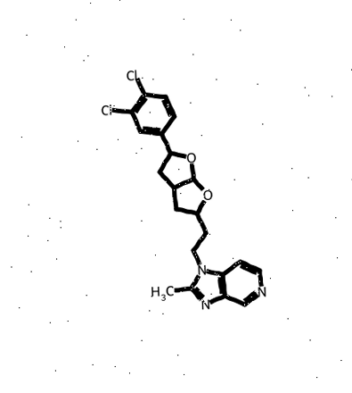 Cc1nc2cnccc2n1CCC1CC2CC(c3ccc(Cl)c(Cl)c3)OC2O1